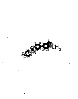 Cn1ccc2cc(-c3ccc4oc(N5CCC(F)(F)CC5)nc4c3)ccc21